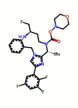 CC(C)(C)[C@H](c1nc(-c2cc(F)cc(F)c2F)cn1Cc1ccccc1)N(CC[C@@H](N)CF)C(=O)ON1CCOCC1